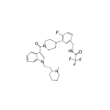 CN1CCCCC1CCn1cc(C(=O)N2CCC(c3cc(CNC(=O)C(F)(F)F)ccc3F)CC2)c2ccccc21